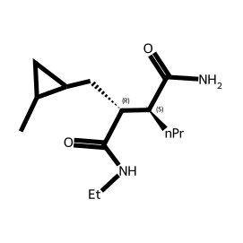 CCC[C@H](C(N)=O)[C@@H](CC1CC1C)C(=O)NCC